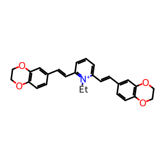 CC[n+]1c(/C=C/c2ccc3c(c2)OCCO3)cccc1/C=C/c1ccc2c(c1)OCCO2